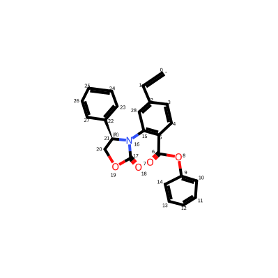 [CH]=Cc1ccc(C(=O)Oc2ccccc2)c(N2C(=O)OC[C@H]2c2ccccc2)c1